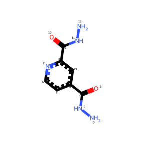 NNC(=O)c1ccnc(C(=O)NN)c1